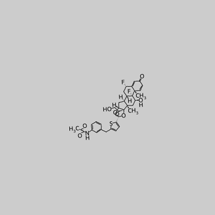 C[C@]12C=CC(=O)C=C1[C@@H](F)C[C@H]1[C@@H]3C[C@H]4O[C@@H](c5ccc(Cc6cccc(NS(C)(=O)=O)c6)s5)O[C@@]4(C(=O)CO)[C@@]3(C)C[C@H](O)[C@@]12F